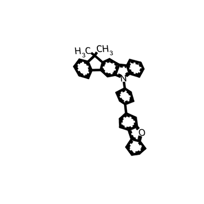 CC1(C)c2ccccc2-c2cc3c(cc21)c1ccccc1n3-c1ccc(-c2ccc3c(c2)oc2ccccc23)cc1